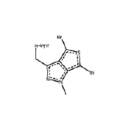 CCCCCCCCc1nn(C)c2c(Br)sc(Br)c12